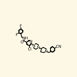 N#Cc1ccc(CN2CCC(N3CCN(c4ncc(C(=O)NCc5ccc(F)cc5F)cc4Cl)CC3)CC2)cc1